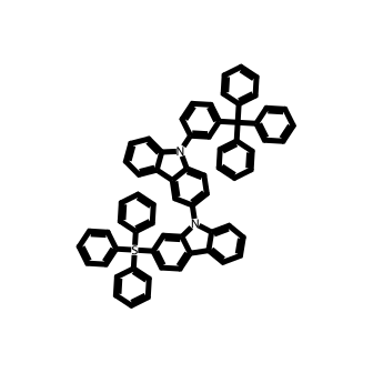 c1ccc(C(c2ccccc2)(c2ccccc2)c2cccc(-n3c4ccccc4c4cc(-n5c6ccccc6c6ccc(S(c7ccccc7)(c7ccccc7)c7ccccc7)cc65)ccc43)c2)cc1